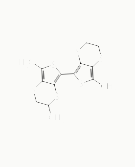 Cc1sc(-c2sc(C)c3c2SC(C)CS3)c2c1SCCS2